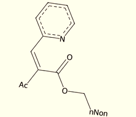 CCCCCCCCCCOC(=O)/C(=C\c1ccccn1)C(C)=O